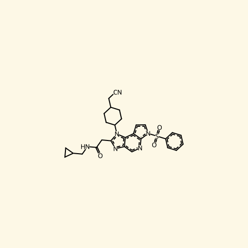 N#CCC1CCC(n2c(CC(=O)NCC3CC3)nc3cnc4c(ccn4S(=O)(=O)c4ccccc4)c32)CC1